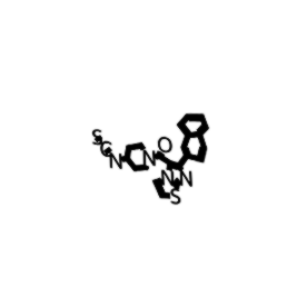 O=C(c1c(-c2ccc3ccccc3c2)nc2sccn12)N1CCC(N=C=S)CC1